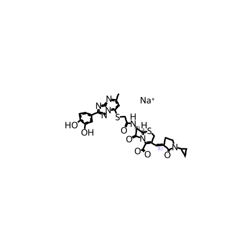 Cc1cc(SCC(=O)N[C@@H]2C(=O)N3C(C(=O)[O-])=C(/C=C4\CCN(C5CC5)C4=O)CS[C@H]23)n2nc(-c3ccc(O)c(O)c3)nc2n1.[Na+]